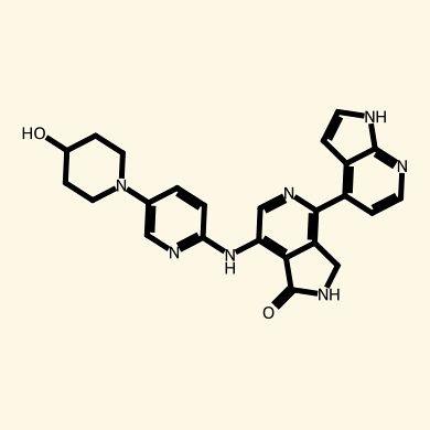 O=C1NCc2c(-c3ccnc4[nH]ccc34)ncc(Nc3ccc(N4CCC(O)CC4)cn3)c21